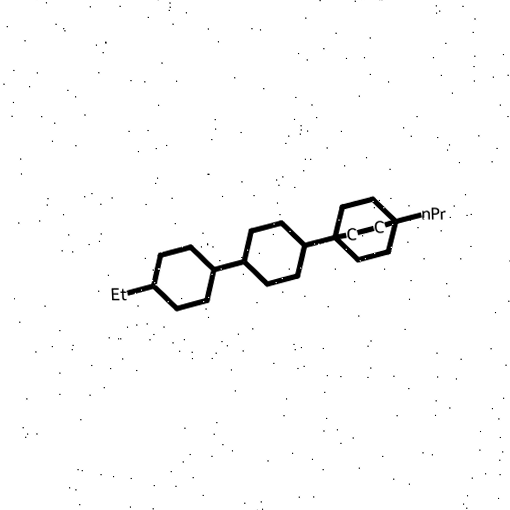 CCCC12CCC(C3CCC(C4CCC(CC)CC4)CC3)(CC1)CC2